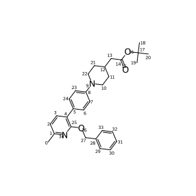 Cc1ccc(-c2ccc(N3CCC(CC(=O)OC(C)(C)C)CC3)cc2)c(OCc2ccccc2)n1